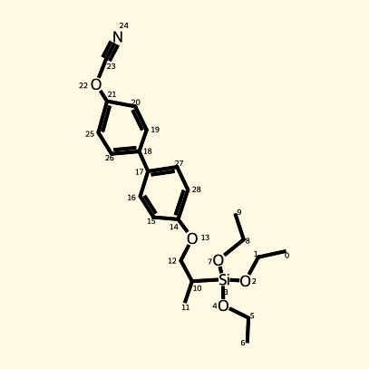 CCO[Si](OCC)(OCC)C(C)COc1ccc(-c2ccc(OC#N)cc2)cc1